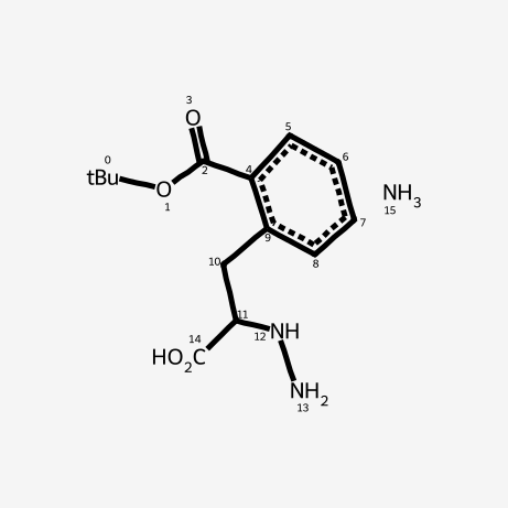 CC(C)(C)OC(=O)c1ccccc1CC(NN)C(=O)O.N